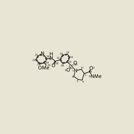 CNC(=O)C1CCCN(S(=O)(=O)c2cccc(C(=O)Nc3ncccc3OC)c2)C1